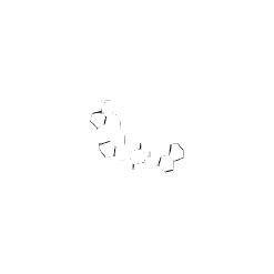 CN(C)c1ccc(Oc2ccc(CN3C(=O)[C@H](Cc4ccc5ccccc5c4)NC(=O)[C@@H]3CCCCN)cc2)cc1